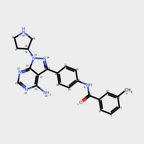 Cc1cccc(C(=O)Nc2ccc(-c3nn([C@H]4CCNC4)c4ncnc(N)c34)cc2)c1